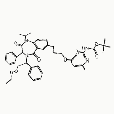 CCOOCC(c1ccccc1)N1C(=O)c2cc(CCCOc3cc(C)nc(NC(=O)OC(C)(C)C)n3)ccc2N(C(C)C)C(=O)C1c1ccccc1